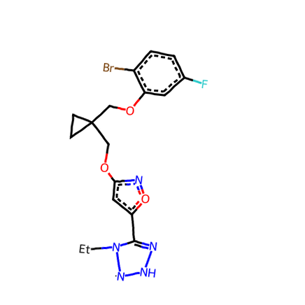 CCN1[N]NN=C1c1cc(OCC2(COc3cc(F)ccc3Br)CC2)no1